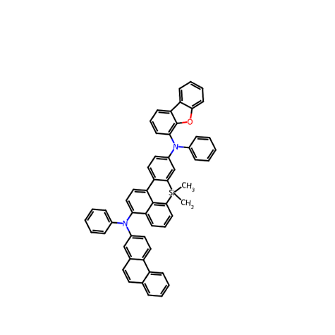 C[Si]1(C)c2cc(N(c3ccccc3)c3cccc4c3oc3ccccc34)ccc2-c2ccc(N(c3ccccc3)c3ccc4c(ccc5ccccc54)c3)c3cccc1c23